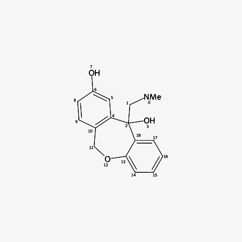 CNCC1(O)c2cc(O)ccc2COc2ccccc21